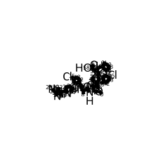 COCC(NC(=O)C(C)NCc1ccc(Cl)cc1Oc1ccc(-c2cnc(CN(C)C)n2C)nc1)C(=O)N(C)[C@@]1(Cc2ccc(Cl)cc2)CCCN(C(=O)C(CC(=O)O)Cc2ccccc2)C1